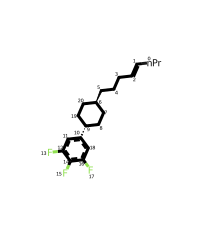 CCC/C=C/CCC[C@H]1CC[C@H](c2cc(F)c(F)c(F)c2)CC1